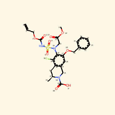 C=CCOC(=O)NS(=O)(=O)N(CC(=O)OC)c1c(OCc2ccccc2)cc2c(c1F)C[C@H](C)N(C(=O)O)C2